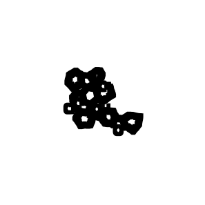 OC1(c2c(Cl)cccc2-c2ccc3c(c2)oc2ccccc23)c2ccccc2C2(c3ccccc3-c3ccccc32)c2ccccc21